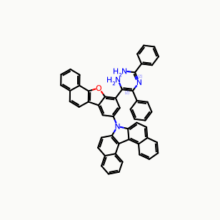 N/C(=N\C(=C(/N)c1cc(-n2c3ccc4ccccc4c3c3c4ccccc4ccc32)cc2c1oc1c3ccccc3ccc21)c1ccccc1)c1ccccc1